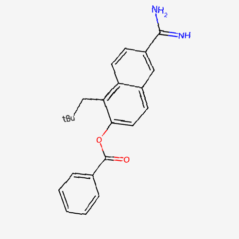 CC(C)(C)Cc1c(OC(=O)c2ccccc2)ccc2cc(C(=N)N)ccc12